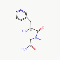 CN(CC(N)=O)C(=O)[C@@H](N)Cc1cccnc1